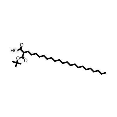 CCCCCCCCCCCCCCCCCCCCCC(C(=O)O)C(=O)OC(C)(C)C